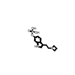 O=P(O)(O)Oc1ccc2c(CCN3CCC3)c[nH]c2c1